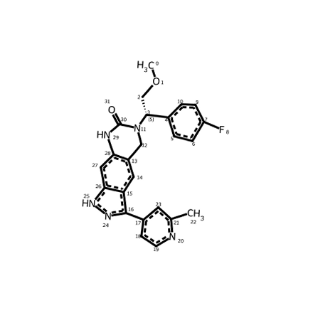 COC[C@H](c1ccc(F)cc1)N1Cc2cc3c(-c4ccnc(C)c4)n[nH]c3cc2NC1=O